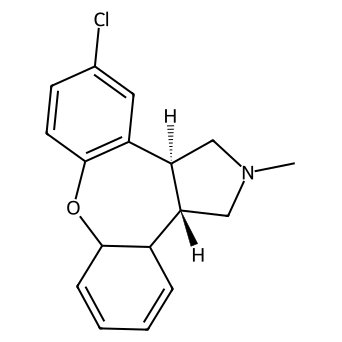 CN1C[C@@H]2c3cc(Cl)ccc3OC3C=CC=CC3[C@H]2C1